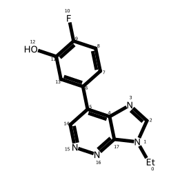 CCn1cnc2c(-c3ccc(F)c(O)c3)cnnc21